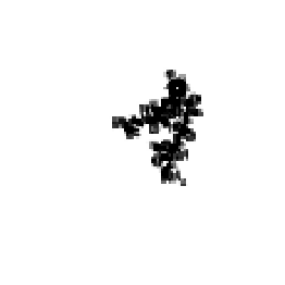 CCN(CC)CCNC(=O)c1c(C)[nH]c(/C=C2\C(=O)N(C(=O)N(C)CCNC(=O)CCC(=O)N[C@@H](CCN)C(=O)PC)c3ccc(F)cc32)c1C